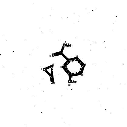 C=C1CO1.COC(=O)c1cccc(OC)c1